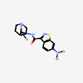 CCN(CC)c1ccc2c(C(=O)N[C@H]3CN4CCC3CC4)nsc2c1